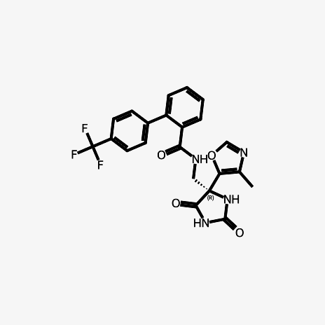 Cc1ncoc1[C@@]1(CNC(=O)c2ccccc2-c2ccc(C(F)(F)F)cc2)NC(=O)NC1=O